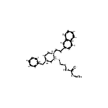 CC(C)(C)OC(=O)NCCC[C@@H]1CN(Cc2ccccc2)CCN1CCc1ccc2ccccc2c1